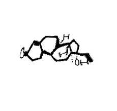 CC[C@]1(O)CC[C@H]2[C@@H]3CCC4=CC(=O)CCC4=C3CC[C@@]21C